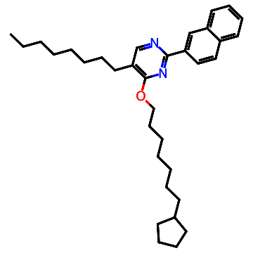 CCCCCCCCc1cnc(-c2ccc3ccccc3c2)nc1OCCCCCCCC1CCCC1